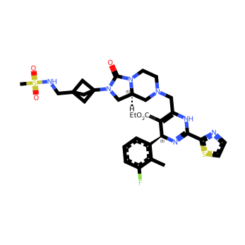 CCOC(=O)C1=C(CN2CCN3C(=O)N(C45CC(CNS(C)(=O)=O)(C4)C5)C[C@@H]3C2)NC(c2nccs2)=N[C@H]1c1cccc(F)c1C